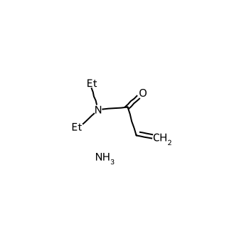 C=CC(=O)N(CC)CC.N